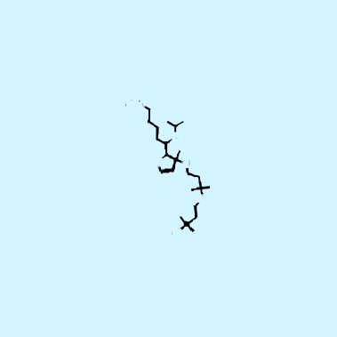 CC(C)NC(CCCCN)C1OC=CC1(C)NCCC(C)(C)OCCC(C)(C)S